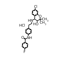 CC1(C)Oc2cc(Cl)ccc2C(NCCc2ccc(NC(=O)c3ccc(F)cc3)cc2)C1O.Cl